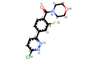 O=C(c1ccc(-c2ccc(Cl)nn2)cc1F)N1CCOCC1